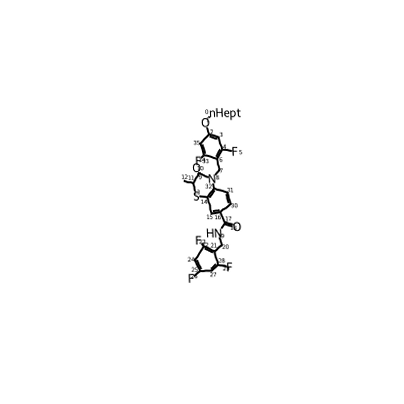 CCCCCCCOc1cc(F)c(CN2C(=O)C(C)Sc3cc(C(=O)NCc4c(F)cc(F)cc4F)ccc32)c(F)c1